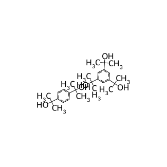 CC(C)(O)c1cc(C(C)(C)O)cc(C(C)(C)O)c1.CC(C)(O)c1ccc(C(C)(C)O)cc1